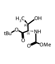 COC(=O)N[C@H](C(=O)OC(C)(C)C)[C@@H](C)O